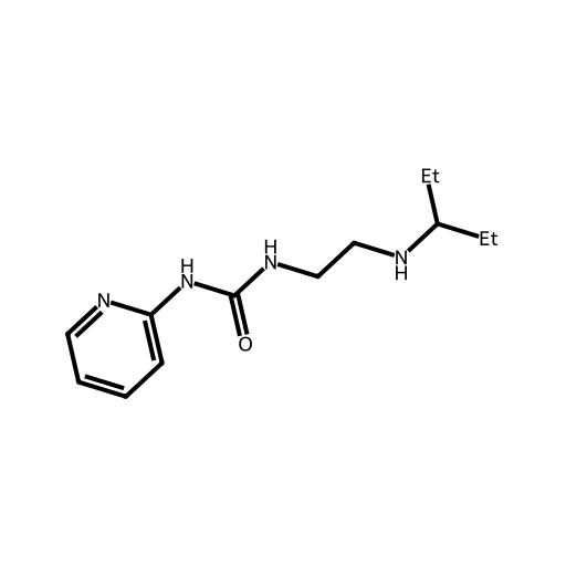 CCC(CC)NCCNC(=O)Nc1ccccn1